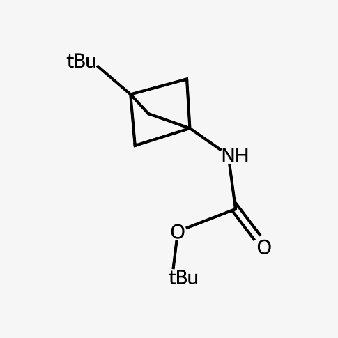 CC(C)(C)OC(=O)NC12CC(C(C)(C)C)(C1)C2